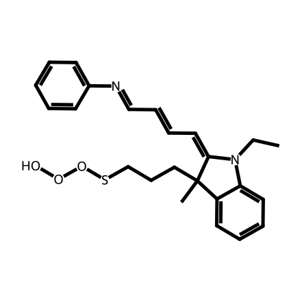 CCN1/C(=C/C=C/C=N/c2ccccc2)C(C)(CCCSOOO)c2ccccc21